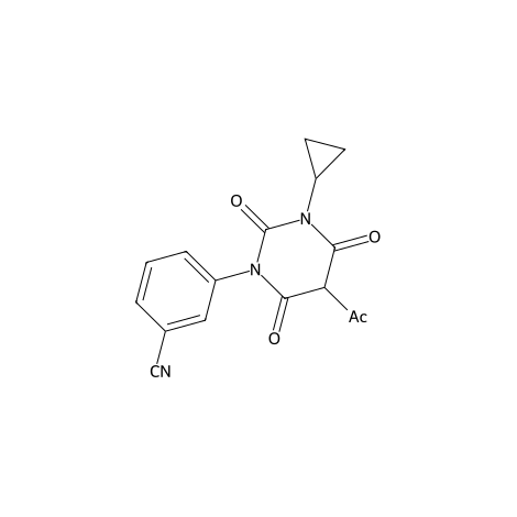 CC(=O)C1C(=O)N(c2cccc(C#N)c2)C(=O)N(C2CC2)C1=O